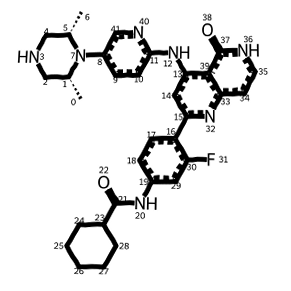 C[C@@H]1CNC[C@H](C)N1c1ccc(Nc2cc(-c3ccc(NC(=O)C4CCCCC4)cc3F)nc3cc[nH]c(=O)c23)nc1